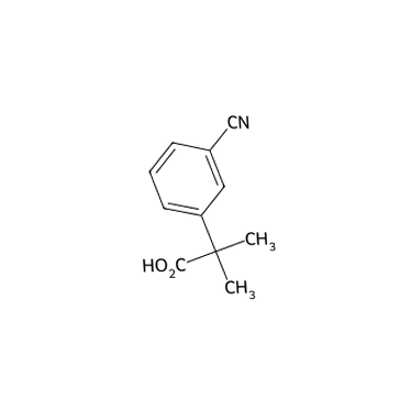 CC(C)(C(=O)O)c1cccc(C#N)c1